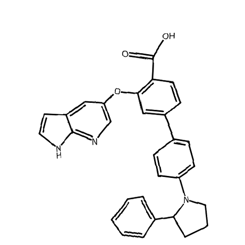 O=C(O)c1ccc(-c2ccc(N3CCCC3c3ccccc3)cc2)cc1Oc1cnc2[nH]ccc2c1